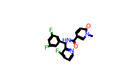 Cn1cc(C(=O)NC(c2cc(F)cc(F)c2)c2ncccc2F)ccc1=O